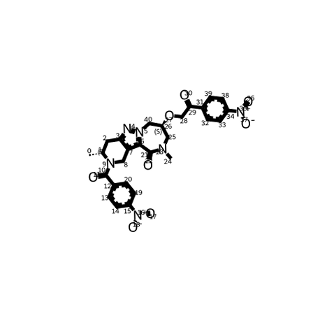 C[C@@H]1Cc2nn3c(c2CN1C(=O)c1ccc([N+](=O)[O-])cc1)C(=O)N(C)C[C@H](OCC(=O)c1ccc([N+](=O)[O-])cc1)C3